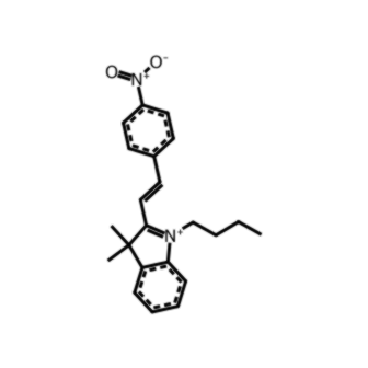 CCCC[N+]1=C(C=Cc2ccc([N+](=O)[O-])cc2)C(C)(C)c2ccccc21